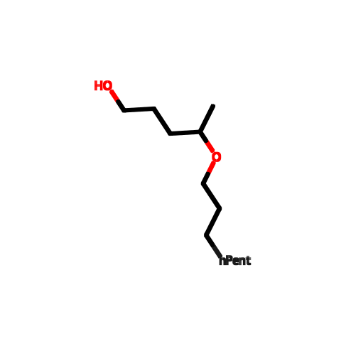 CCCCCCCCOC(C)CCCO